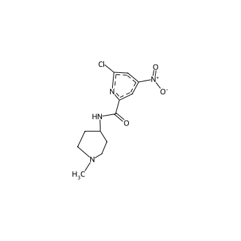 CN1CCC(NC(=O)c2cc([N+](=O)[O-])cc(Cl)n2)CC1